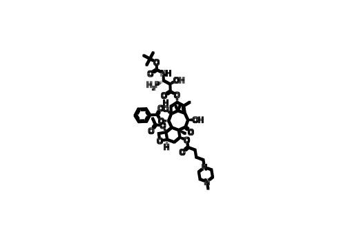 CC(=O)O[C@@]12CO[C@@H]1C[C@H](OC(=O)CCCN1CCN(C)CC1)[C@@]1(C)C(=O)[C@H](O)C3=C(C)[C@@H](OC(=O)[C@H](O)[C@H](P)NC(=O)OC(C)(C)C)C[C@@](O)([C@@H](OC(=O)c4ccccc4)C12)C3(C)C